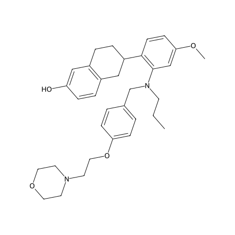 CCCN(Cc1ccc(OCCN2CCOCC2)cc1)c1cc(OC)ccc1C1CCc2cc(O)ccc2C1